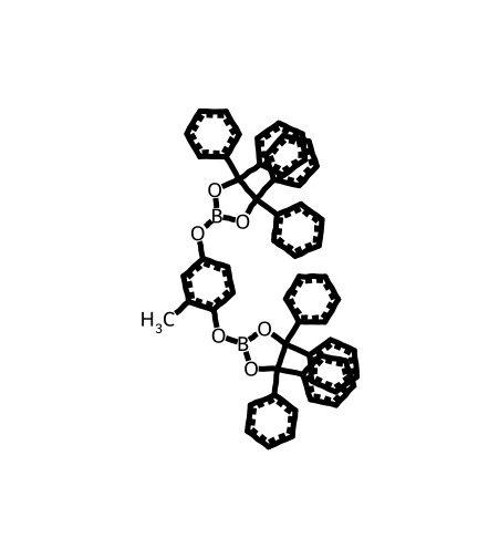 Cc1cc(OB2OC(c3ccccc3)(c3ccccc3)C(c3ccccc3)(c3ccccc3)O2)ccc1OB1OC(c2ccccc2)(c2ccccc2)C(c2ccccc2)(c2ccccc2)O1